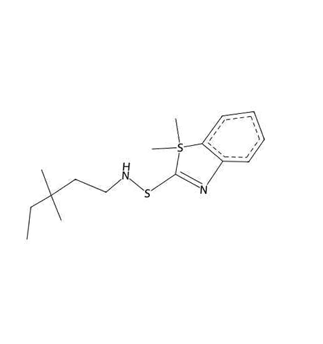 CCC(C)(C)CCNSC1=Nc2ccccc2S1(C)C